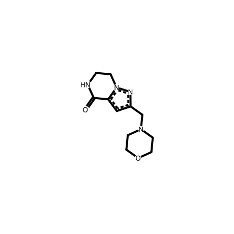 O=C1NCCn2nc(CN3CCOCC3)cc21